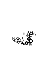 CC(C)(C)OC(=O)N1CC(=Cc2ccc(C3=C(Br)CCCc4cc(OC(=O)C(C)(C)C)ccc43)cc2)C1